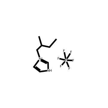 CCC(C)C[n+]1cc[nH]c1.F[P-](F)(F)(F)(F)F